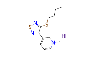 CCCCSc1nsnc1C1=CC=CN(C)C1.I